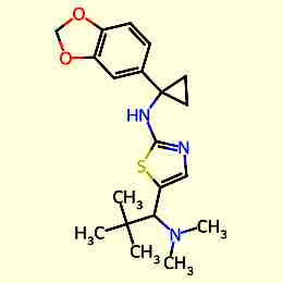 CN(C)C(c1cnc(NC2(c3ccc4c(c3)OCO4)CC2)s1)C(C)(C)C